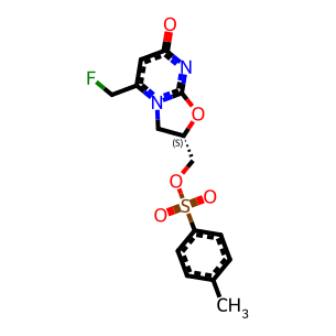 Cc1ccc(S(=O)(=O)OC[C@@H]2Cn3c(CF)cc(=O)nc3O2)cc1